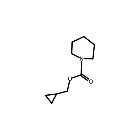 O=C(OCC1CC1)N1CCCCC1